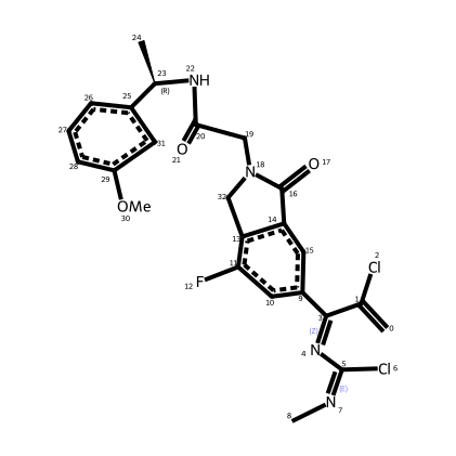 C=C(Cl)/C(=N\C(Cl)=N/C)c1cc(F)c2c(c1)C(=O)N(CC(=O)N[C@H](C)c1cccc(OC)c1)C2